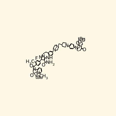 Cc1cccc(N(CC(=O)OC(C)(C)C)C(=O)c2ccc(-c3nn4c(c3C(N)=O)Nc3ccc(N5CCN(CC6CCN(c7ccc(N8CCC(=O)N(CC(=O)OC(C)(C)C)C8=O)cc7)CC6)CC5)cc3CC4)c(F)c2C)n1